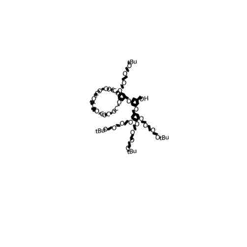 CC(C)(C)OCCOCCOCCOc1cc(COc2cc(CO)cc(OCc3cc(OCCOCCOCCOC(C)(C)C)c4c(c3)OCCOCCOCCOC(C)(C)CC(C)(C)OCCOCCOCCO4)c2)cc(OCCOCCOCCOC(C)(C)C)c1OCCOCCOCCOC(C)(C)C